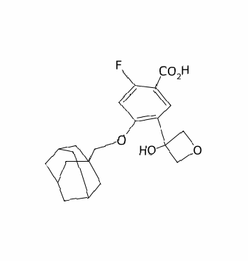 O=C(O)c1cc(C2(O)COC2)c(OCC23CC4CC(CC(C4)C2)C3)cc1F